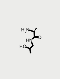 CC(O)CNC(=O)[C@H](C)N